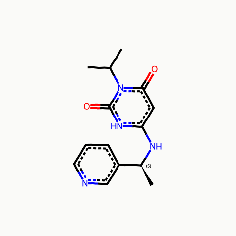 CC(C)n1c(=O)cc(N[C@@H](C)c2cccnc2)[nH]c1=O